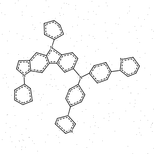 c1ccc(-n2ccc3cc4c(cc32)c2cc(N(c3ccc(-c5cccnc5)cc3)c3ccc(-c5ccccn5)cc3)ccc2n4-c2ccccc2)cc1